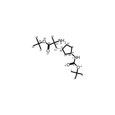 CC(C)(C)OC(=O)N[C@@H]1CC[C@@H](CC(C)(N)C(=O)OC(C)(C)C)C1